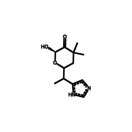 CC(c1cnc[nH]1)C1CC(C)(C)C(=O)[C@H](O)O1